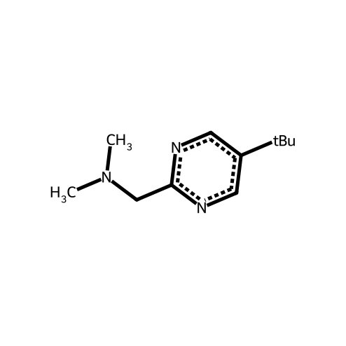 CN(C)Cc1ncc(C(C)(C)C)cn1